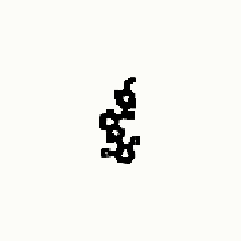 CCc1cnc(Nc2nccc3nc(-c4c(Cl)cccc4Cl)sc23)cn1